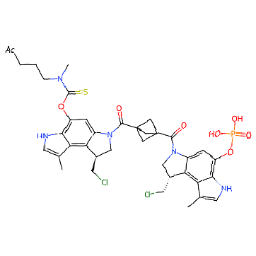 CC(=O)CCCN(C)C(=S)Oc1cc2c(c3c(C)c[nH]c13)[C@H](CCl)CN2C(=O)C12CC(C(=O)N3C[C@@H](CCl)c4c3cc(OP(=O)(O)O)c3[nH]cc(C)c43)(C1)C2